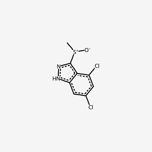 C[S+]([O-])c1n[nH]c2cc(Cl)cc(Cl)c12